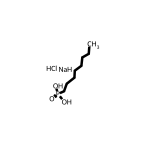 CCCCCCCCP(=O)(O)O.Cl.[NaH]